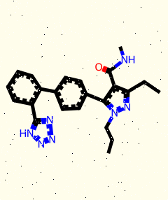 CCCn1nc(CC)c(C(=O)NC)c1-c1ccc(-c2ccccc2-c2nnn[nH]2)cc1